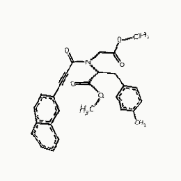 COC(=O)CN(C(=O)C#Cc1ccc2ccccc2c1)C(Cc1ccc(C)cc1)C(=O)OC